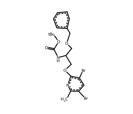 Cc1nc(OCC(COCc2ccccc2)NC(=O)OC(C)(C)C)c(Br)cc1Br